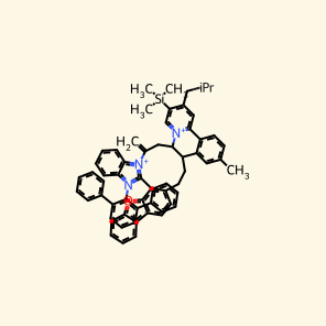 C=C1CC2C(CCc3ccc4c(oc5ccccc54)c3-c3n(-c4c(-c5ccccc5)cccc4-c4ccccc4)c4ccccc4[n+]31)c1cc(C)ccc1-c1cc(CC(C)C)c([Si](C)(C)C)c[n+]12